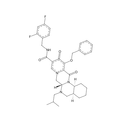 CC(C)CN1C[C@@H]2CCCC[C@@H]2N2C(=O)c3c(OCc4ccccc4)c(=O)c(C(=O)NCc4ccc(F)cc4F)cn3C[C@@H]12